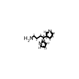 NCCCC(c1cccnc1)n1cccn1